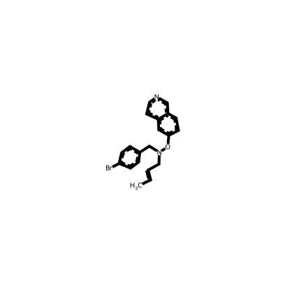 CC=CCN(Cc1ccc(Br)cc1)Oc1ccc2cnccc2c1